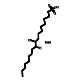 CCCCCCCCC(Cl)C(Cl)CCCCCCCCS(=O)(=O)O.[NaH]